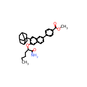 CCCCC(Oc1cc2ccc(-c3ccc(C(=O)OC)cc3)cc2cc1C12CC3CC(CC(C3)C1)C2)C(N)=O